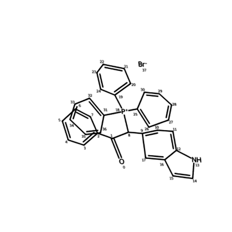 O=C(c1ccccc1)C(c1ccc2[nH]ccc2c1)[P+](c1ccccc1)(c1ccccc1)c1ccccc1.[Br-]